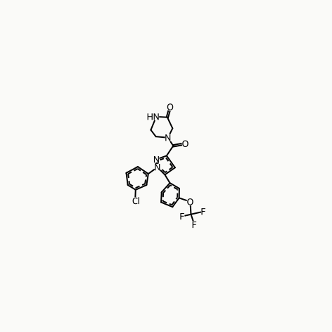 O=C1CN(C(=O)c2cc(-c3cccc(OC(F)(F)F)c3)n(-c3cccc(Cl)c3)n2)CCN1